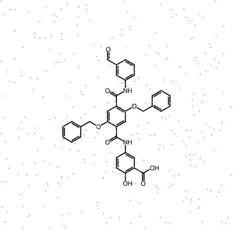 O=Cc1cccc(NC(=O)c2cc(OCc3ccccc3)c(C(=O)Nc3ccc(O)c(C(=O)O)c3)cc2OCc2ccccc2)c1